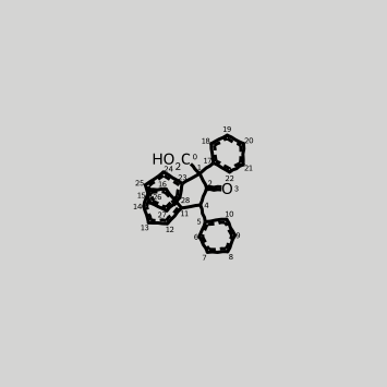 O=C(O)C(C(=O)C(c1ccccc1)c1ccccc1)(c1ccccc1)c1ccccc1